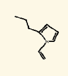 C=Cn1cccc1CCC